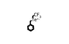 FC(F)(F)C[Te+]Cc1ccccc1